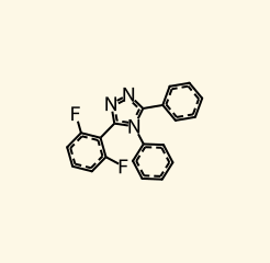 Fc1cccc(F)c1-c1nnc(-c2ccccc2)n1-c1ccccc1